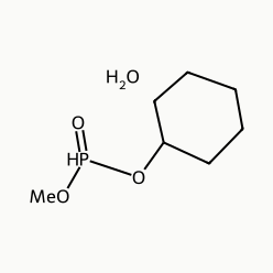 CO[PH](=O)OC1CCCCC1.O